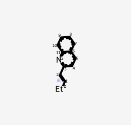 CC/C=C/c1ccc2ccccc2n1